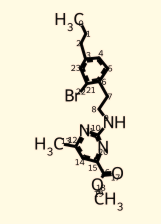 CCCc1ccc(CCNc2nc(C)cc(C(=O)OC)n2)c(Br)c1